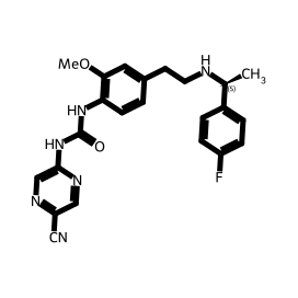 COc1cc(CCN[C@@H](C)c2ccc(F)cc2)ccc1NC(=O)Nc1cnc(C#N)cn1